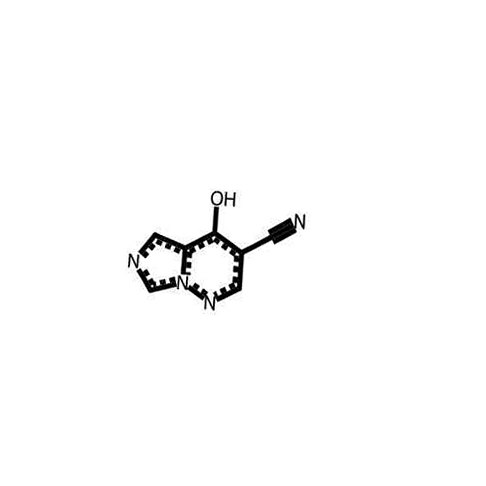 N#Cc1cnn2cncc2c1O